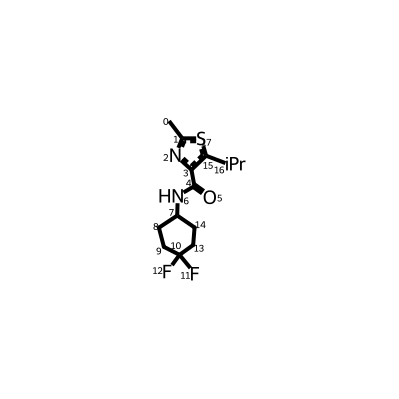 Cc1nc(C(=O)NC2CCC(F)(F)CC2)c(C(C)C)s1